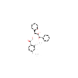 COc1ccc(C(=O)COc2c(C(=O)c3ccccc3)oc3ccccc23)c(OC)c1